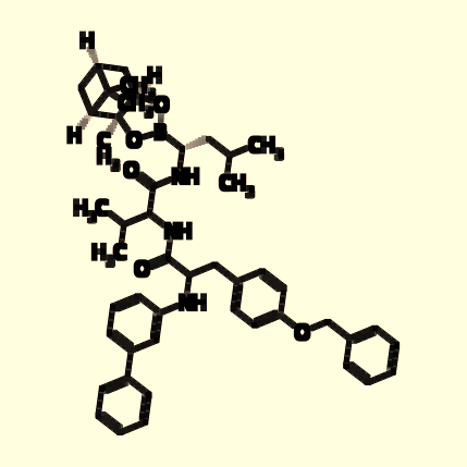 CC(C)C[C@H](NC(=O)C(NC(=O)C(Cc1ccc(OCc2ccccc2)cc1)Nc1cccc(-c2ccccc2)c1)C(C)C)B1O[C@@H]2C[C@@H]3C[C@@H](C3(C)C)[C@]2(C)O1